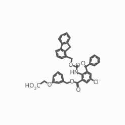 O=C(O)COc1cccc(COC(=O)c2cc(Cl)cc(C(=O)c3ccccc3)c2NC(=O)OCc2cccc3c2Cc2ccccc2-3)c1